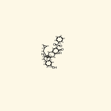 O=c1[nH]c2c(cc1S(=O)(=O)c1ccccc1)C[C@@]1(O)[C@H]3Cc4ccc(O)cc4[C@@]1(CCN3CC1CC1)C2